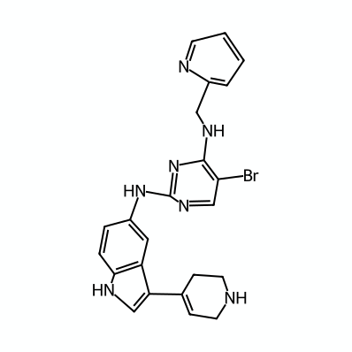 Brc1cnc(Nc2ccc3[nH]cc(C4=CCNCC4)c3c2)nc1NCc1ccccn1